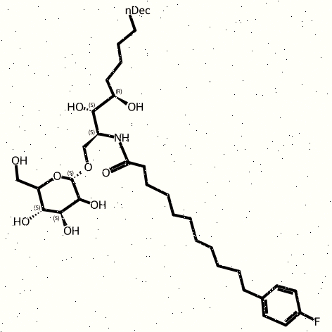 CCCCCCCCCCCCCC[C@@H](O)[C@@H](O)[C@H](CO[C@H]1OC(CO)[C@@H](O)[C@H](O)C1O)NC(=O)CCCCCCCCCCc1ccc(F)cc1